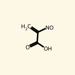 C=C(N=O)C(=O)O